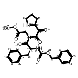 CC(C)(C)OC(=O)CN(C(=O)C(=O)C1CCCN1)C(=O)[C@H](Cc1ccccc1)NC(=O)OCc1ccccc1